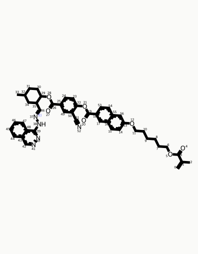 C=C(C)C(=O)OCCCCCCOc1ccc2cc(C(=O)Oc3ccc(C(=O)OC4CCC(C)CC4/C=N/Nc4nncc5ccccc45)cc3C#N)ccc2c1